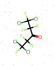 O=C(C(F)(F)C(F)(Cl)Cl)C(F)(F)C(F)(Cl)Cl